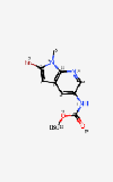 Cn1c(Br)cc2cc(NC(=O)OC(C)(C)C)cnc21